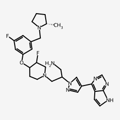 C[C@H]1CCCN1Cc1cc(F)cc(OC2CCN(CC(CN)n3cc(-c4ncnc5[nH]ccc45)cn3)CC2F)c1